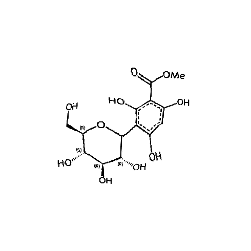 COC(=O)c1c(O)cc(O)c(C2O[C@H](CO)[C@@H](O)[C@H](O)[C@H]2O)c1O